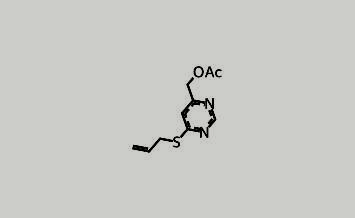 C=CCSc1cc(COC(C)=O)ncn1